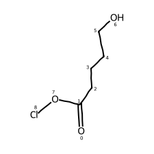 O=C(CCCCO)OCl